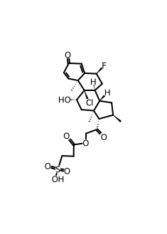 C[C@@H]1C[C@H]2[C@@H]3C[C@H](F)C4=CC(=O)C=C[C@]4(C)[C@@]3(Cl)[C@@H](O)C[C@]2(C)[C@H]1C(=O)COC(=O)CCS(=O)(=O)O